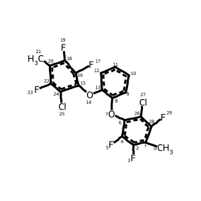 Cc1c(F)c(F)c(Oc2ccccc2Oc2c(F)c(F)c(C)c(F)c2Cl)c(Cl)c1F